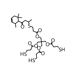 CC(CC(=O)C1C(C)C=CCC1(C)C)SCCC(=O)OCC(COC(=O)CCS)(COC(=O)CCS)COC(=O)CCS